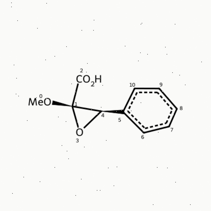 CO[C@]1(C(=O)O)O[C@@H]1c1ccccc1